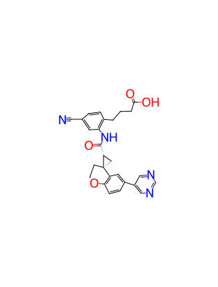 N#Cc1ccc(CCCC(=O)O)c(NC(=O)[C@@H]2C[C@]23CCOc2ccc(-c4cncnc4)cc23)c1